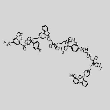 CN(CCN1CCC(N(C(=O)O)c2ccccc2-c2ccccc2)CC1)C(=O)CCOCCNc1ccc(C(=O)N(C)CCCN(C)C(=O)CO[C@H]2Cc3ccccc3C23CCN(CC[C@@]2(c4ccc(F)cc4)CN(C(=O)c4cc(C(F)(F)F)cc(C(F)(F)F)c4)CO2)CC3)cc1